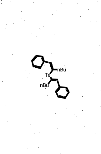 CCCCC(=Cc1ccccc1)[Te]C(=Cc1ccccc1)CCCC